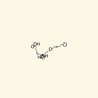 O=C(O)CCC/C=C\C[C@@H]1[C@H](CCCCOCCC#CCCc2ccccc2)[C@@H]2CC[C@H]1S2